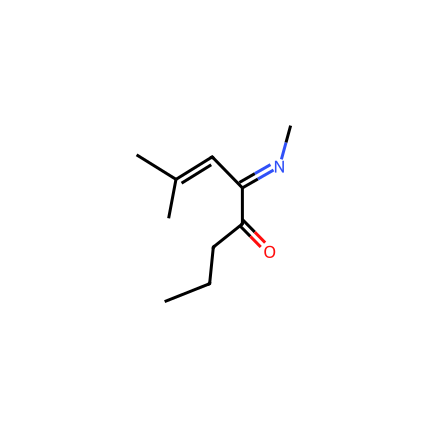 CCCC(=O)/C(C=C(C)C)=N/C